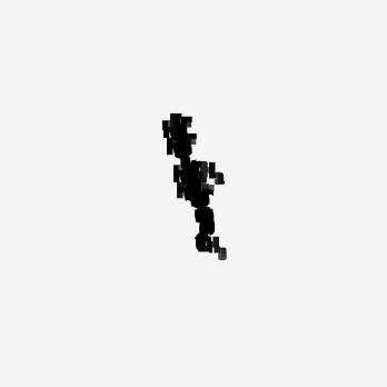 CCCCOC1C=CC(c2cc(F)c3c(F)c(-c4cc(C)c(C#Cc5cc(F)c(-c6cc(F)c(F)c(F)c6)c(F)c5)c(F)c4)c(F)cc3c2)=CC1